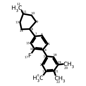 Cc1cc(-c2ccc(C3CCC(C)CC3)cc2F)cc(C)c1C